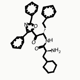 N[C@@H](CC1CCCCC1)C(=O)N[C@@H](CCc1ccccc1)C(=O)c1oc(-c2ccccc2)nc1-c1ccccc1